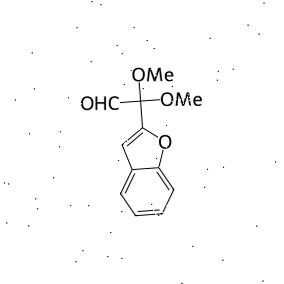 COC(C=O)(OC)c1cc2ccccc2o1